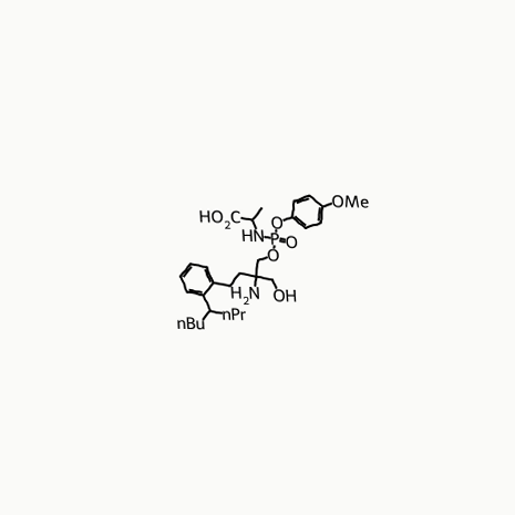 CCCCC(CCC)c1ccccc1CCC(N)(CO)COP(=O)(NC(C)C(=O)O)Oc1ccc(OC)cc1